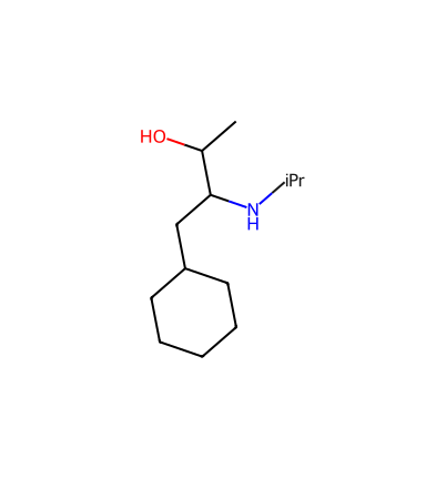 CC(C)NC(CC1CCCCC1)C(C)O